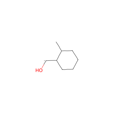 CC1CCCCC1[CH]O